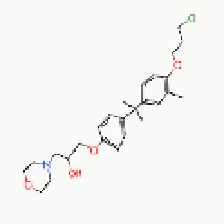 Cc1cc(C(C)(C)c2ccc(OCC(O)CN3CCOCC3)cc2)ccc1OCCCCl